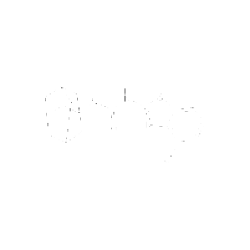 O=C(Nc1nc2c(Cl)cccc2s1)NC12CC3CC(CC(C3)C1)C2